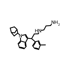 Cc1cccc(C(CCNCCCN)c2cn(C3CC4CCC3C4)c3ccccc23)c1